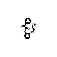 O=C(Oc1ccccc1)C(=O)c1ccccc1.OCCO